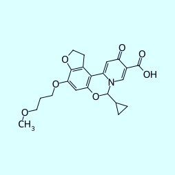 COCCCOc1cc2c(c3c1OCC3)-c1cc(=O)c(C(=O)O)cn1C(C1CC1)O2